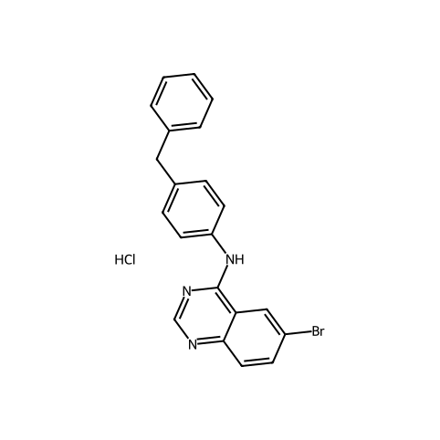 Brc1ccc2ncnc(Nc3ccc(Cc4ccccc4)cc3)c2c1.Cl